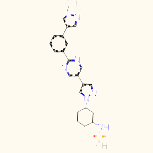 Cn1cc(-c2cccc(-c3ncc(-c4cnn([C@@H]5CCCC(NS(C)(=O)=O)C5)c4)cn3)c2)cn1